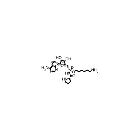 NCCCCCCOP(=O)(NC(=O)[C@@H]1CCCN1)OC[C@H]1O[C@@H](n2cnc3c(N)ncnc32)[C@H](O)[C@@H]1O